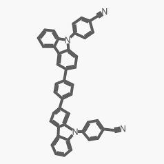 N#Cc1ccc(-n2c3ccccc3c3cc(-c4ccc(-c5ccc6c7ccccc7n(-c7ccc(C#N)cc7)c6c5)cc4)ccc32)cc1